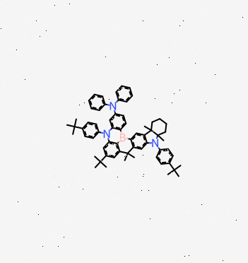 CC(C)(C)c1ccc(N2c3cc(N(c4ccccc4)c4ccccc4)ccc3B3c4cc5c(cc4C(C)(C)c4cc(C(C)(C)C)cc2c43)N(c2ccc(C(C)(C)C)cc2)C2(C)CCCCC52C)cc1